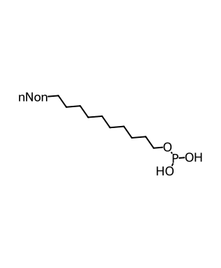 CCCCCCCCCCCCCCCCCCCOP(O)O